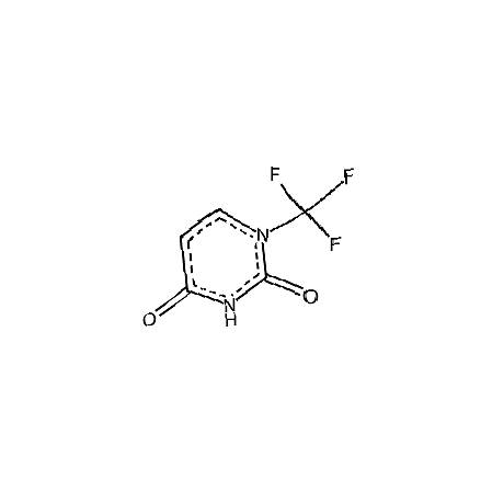 O=c1ccn(C(F)(F)F)c(=O)[nH]1